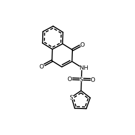 O=C1C=C(NS(=O)(=O)c2cccs2)C(=O)c2ccccc21